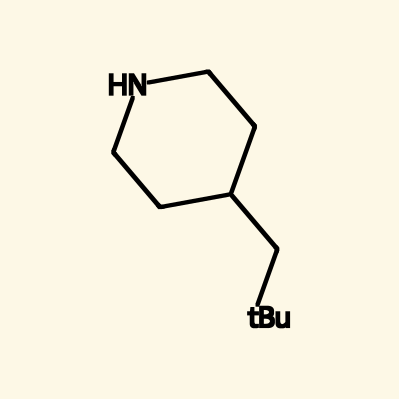 CC(C)(C)CC1CCNCC1